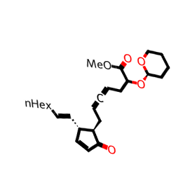 CCCCCC/C=C/[C@H]1C=CC(=O)[C@@H]1CC=C=CCC(O[C@@H]1CCCCO1)C(=O)OC